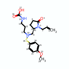 C=CCN1C(=O)CC[C@@H]1CN(CCCNC(=O)O)Sc1ccc(OC)cc1